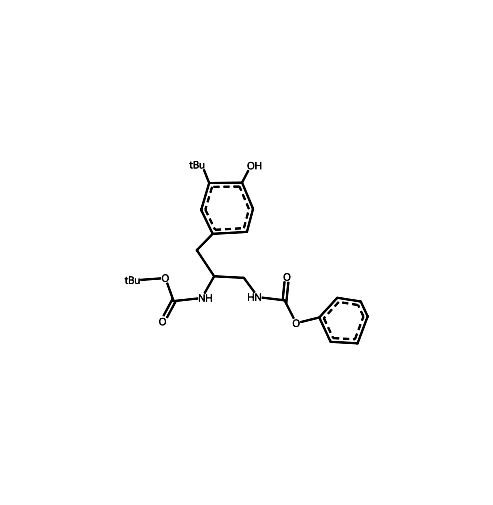 CC(C)(C)OC(=O)NC(CNC(=O)Oc1ccccc1)Cc1ccc(O)c(C(C)(C)C)c1